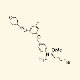 CO/C(=N\CCCBr)N(C)c1ccc(COc2cc(F)cc(ON=CC3CCOCC3)c2)cc1